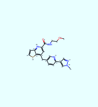 COCCNC(=O)c1cc(Cc2ccc(-c3cnn(C)c3)nc2)c2sccc2n1